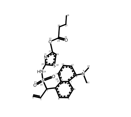 C=CC(c1cccc2c(N(C)C)cccc12)S(=O)(=O)Nc1nc(OC(=O)CCC)cs1